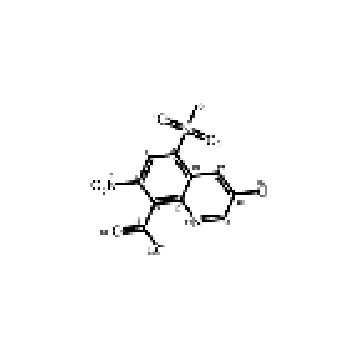 CS(=O)(=O)c1cc([N+](=O)[O-])c(C(=O)Cl)c2ncc(Cl)cc12